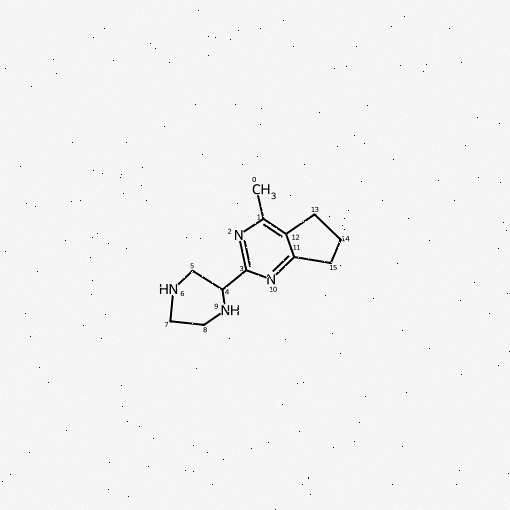 Cc1nc(C2CNCCN2)nc2c1CCC2